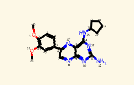 COc1ccc(-c2cnc3nc(N)nc(NC4CCCC4)c3n2)cc1OC